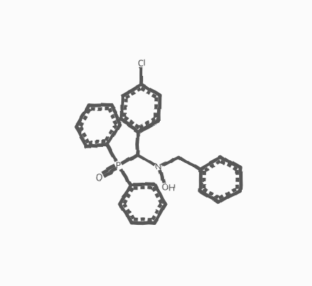 O=P(c1ccccc1)(c1ccccc1)C(c1ccc(Cl)cc1)N(O)Cc1ccccc1